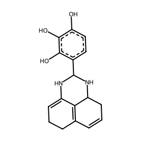 Oc1ccc(C2NC3=CCCC4=C3C(CC=C4)N2)c(O)c1O